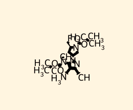 C#Cc1nn([C@H]2C[C@@H](CF)N(C(=O)OC(C)(C)C)C2)c(N(C)C(=O)OC(C)(C)C)c1C#N